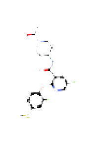 CSc1ccc(Oc2ncc(F)cc2C(=O)NC2CCN(C(C)=O)CC2)c(F)c1